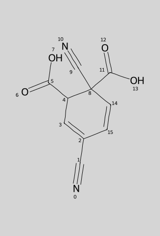 N#CC1=CC(C(=O)O)C(C#N)(C(=O)O)C=C1